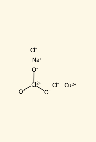 [Cl-].[Cl-].[Cu+2].[Na+].[O-][Cl+2]([O-])[O-]